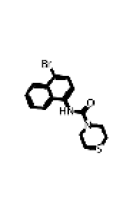 O=C(Nc1ccc(Br)c2ccccc12)N1CCSCC1